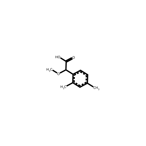 COC(C(=O)O)c1ccc(C)cc1C